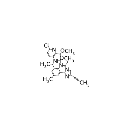 CC#Cc1cn2c(CC)nc3c(C(C)Nc4ccc(Cl)nc4C(=O)OC)cc(C)cc3c2n1